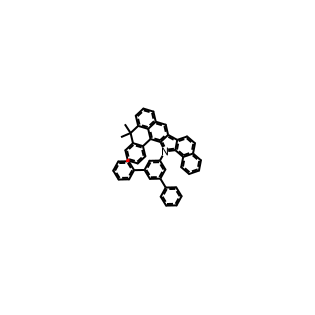 CC1(C)c2ccccc2-c2c3c1cccc3cc1c3ccc4ccccc4c3n(-c3cc(-c4ccccc4)cc(-c4ccccc4)c3)c21